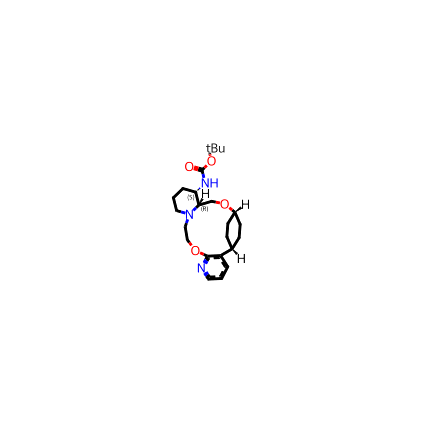 CC(C)(C)OC(=O)N[C@H]1CCCN2CCOc3ncccc3[C@H]3CC[C@H](CC3)OC[C@@H]12